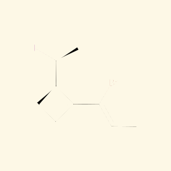 C/C=C(\Br)C1=CC[C@H]1[C@H](C)I